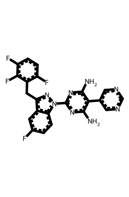 Nc1nc(-n2nc(Cc3c(F)ccc(F)c3F)c3cc(F)ccc32)nc(N)c1-c1cncnc1